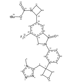 Cn1cnnc1CC1(c2cccc(N3Cc4c(cc(C5CCN5C(=O)OC(C)(C)C)cc4C(F)(F)F)C3=O)c2)COC1